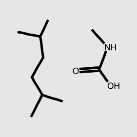 CC(C)CCC(C)C.CNC(=O)O